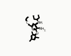 CC=C=Cc1cc(NC(CC)CC)c(N)c(Oc2c(C)cc(C)cc2C)n1